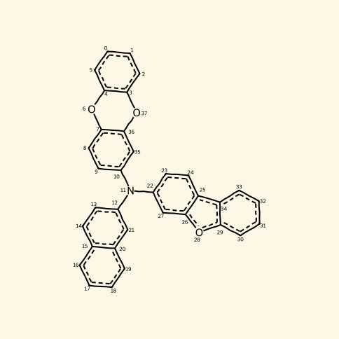 c1ccc2c(c1)Oc1ccc(N(c3ccc4ccccc4c3)c3ccc4c(c3)oc3ccccc34)cc1O2